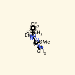 CCn1nc(-c2ccc(-n3cnc(C)c3)c(OC)n2)nc1C(C)(CC)c1ccc(C(F)(F)F)cc1